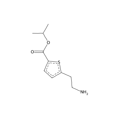 CC(C)OC(=O)c1ccc(CCN)s1